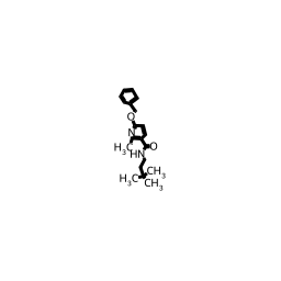 Cc1nc(OCc2ccccc2)ccc1C(=O)NCCC(C)(C)C